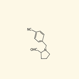 N#Cc1ccc(CN2CCCC2[C]=O)cc1